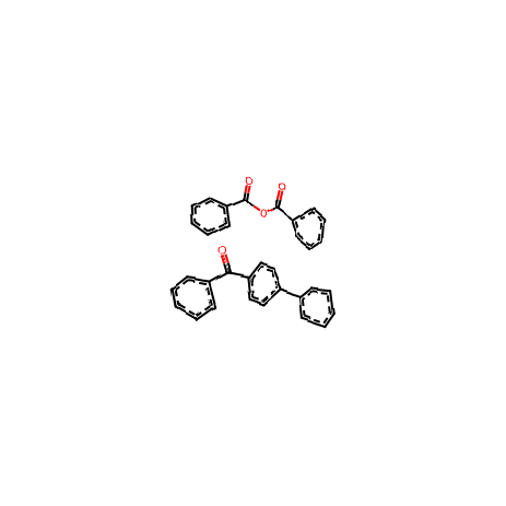 O=C(OC(=O)c1ccccc1)c1ccccc1.O=C(c1ccccc1)c1ccc(-c2ccccc2)cc1